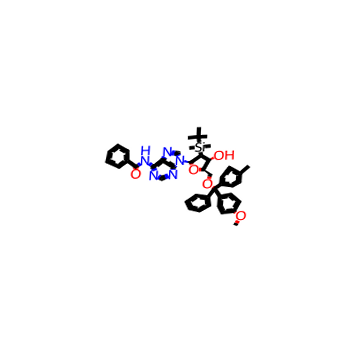 COc1ccc(C(OC[C@H]2O[C@@H](n3cnc4c(NC(=O)c5ccccc5)ncnc43)C([Si](C)(C)C(C)(C)C)[C@H]2O)(c2ccccc2)c2ccc(C)cc2)cc1